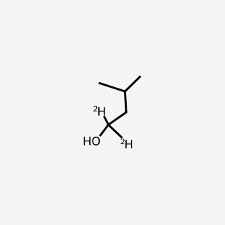 [2H]C([2H])(O)CC(C)C